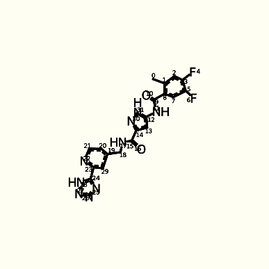 Cc1cc(F)c(F)cc1C(=O)Nc1cc(C(=O)NCc2ccnc(-c3nnn[nH]3)c2)n[nH]1